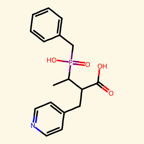 CC(C(Cc1ccncc1)C(=O)O)P(=O)(O)Cc1ccccc1